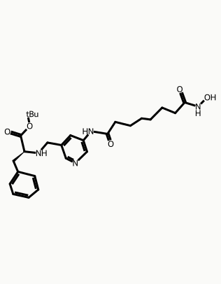 CC(C)(C)OC(=O)[C@H](Cc1ccccc1)NCc1cncc(NC(=O)CCCCCCC(=O)NO)c1